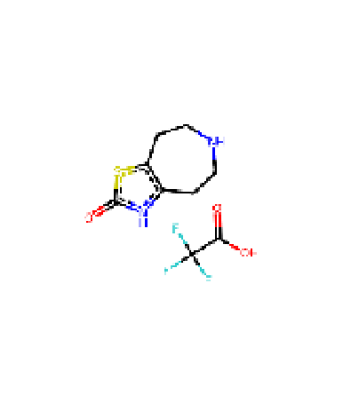 O=C(O)C(F)(F)F.O=c1[nH]c2c(s1)CCNCC2